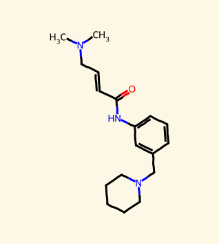 CN(C)CC=CC(=O)Nc1cccc(CN2CCCCC2)c1